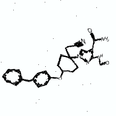 N#CCC1(n2cc(C(N)=O)c(NC=O)n2)CCC(Oc2ccc(-c3ccccc3)cc2)CC1